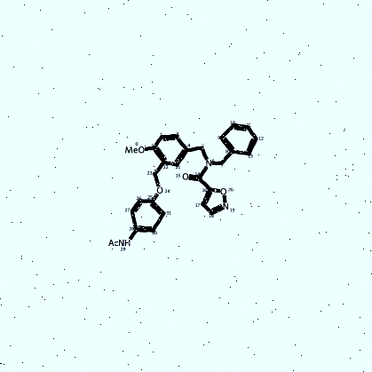 COc1ccc(CN(Cc2ccccc2)C(=O)c2ccno2)cc1COc1ccc(NC(C)=O)cc1